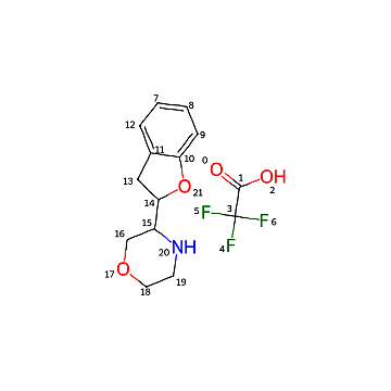 O=C(O)C(F)(F)F.c1ccc2c(c1)CC(C1COCCN1)O2